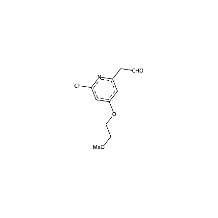 COCCOc1cc(Cl)nc(CC=O)c1